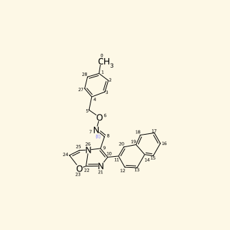 Cc1ccc(CO/N=C/c2c(-c3ccc4ccccc4c3)nc3occn23)cc1